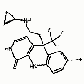 O=c1[nH]ccc2c1Nc1ccc(F)cc1C2(CCNC1CC1)C(F)(F)F